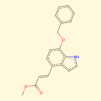 COC(=O)C=Cc1ccc(OCc2ccccc2)c2[nH]ccc12